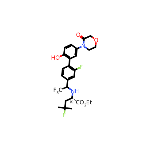 CCOC(=O)[C@H](CC(C)(C)F)NC(c1ccc(-c2cc(N3CCOCC3=O)ccc2O)c(F)c1)C(F)(F)F